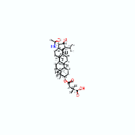 CC(=O)N[C@@]12CC[C@]3(C)[C@H](CC[C@@H]4[C@@]5(C)CC[C@H](OC(=O)CC(C)(C)C(=O)O)C(C)(C)[C@@H]5CC[C@]43C)C1=C(C(C)C)C(=O)C2